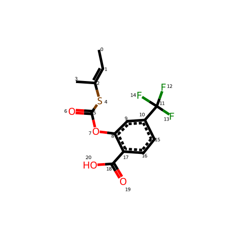 C/C=C(\C)SC(=O)Oc1cc(C(F)(F)F)ccc1C(=O)O